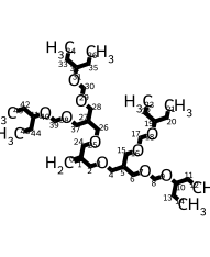 C=C(COCC(COCOC(CC)CC)COCOC(CC)CC)COCC(COCOC(CC)CC)COCOC(CC)CC